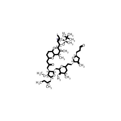 C=C1C(C[C@@H]2O[C@H](C[C@H](C)CC)[C@H](OC)[C@H]2CC(=O)CC2CCC3O[C@@H]([C@H](/C=C/I)O[Si](C)(C)C(C)(C)C)[C@@H](C)[C@@H](C)C3O2)OC(CC[C@@H]2O[C@@H](CCC=O)CC2=C)C[C@H]1C